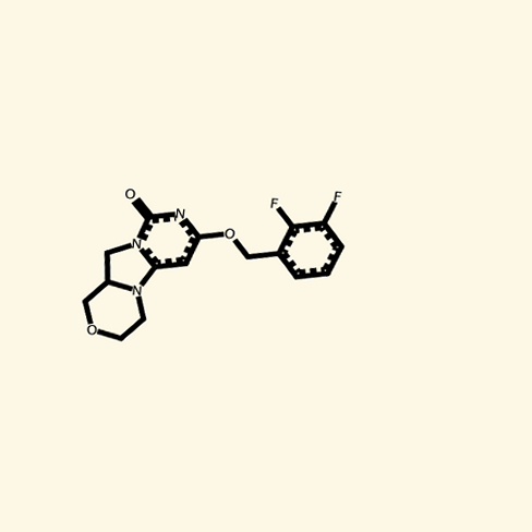 O=c1nc(OCc2cccc(F)c2F)cc2n1CC1COCCN21